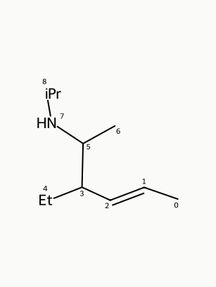 CC=CC(CC)C(C)NC(C)C